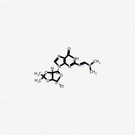 CC[C@H]1O[C@@H](n2cnc3c(=O)[nH]c(/N=C/N(C)C)nc32)[C@H]2OC(C)(C)OC12